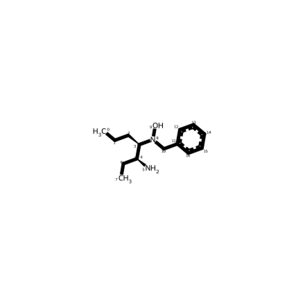 CCC[C@H]([C@@H](N)CC)N(O)Cc1ccccc1